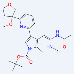 CCN/C(=C\c1c(-c2cccc(C3(OC)CCOC3)n2)cn(C(=O)OC(C)(C)C)c1C)NC(C)=O